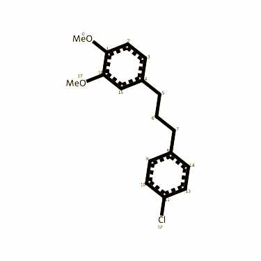 COc1ccc(C[CH]Cc2ccc(Cl)cc2)cc1OC